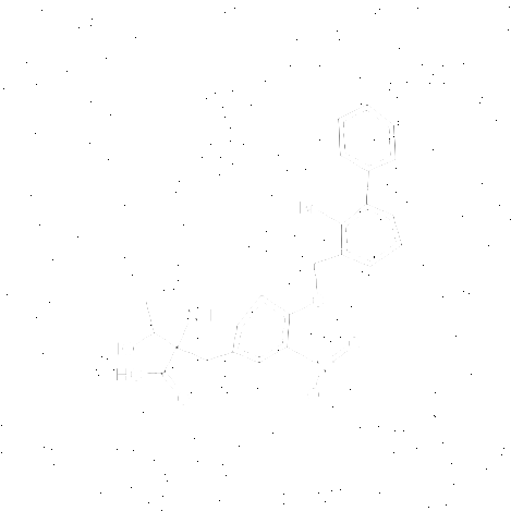 CC(O)C(N)(Cc1ccc(OCc2cccc(-c3ccccc3)c2Br)c([N+](=O)[O-])c1)C(=O)O